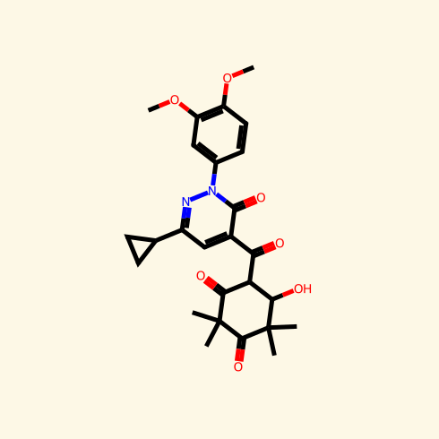 COc1ccc(-n2nc(C3CC3)cc(C(=O)C3C(=O)C(C)(C)C(=O)C(C)(C)C3O)c2=O)cc1OC